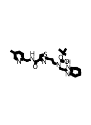 Cc1ccc(CNC(=O)c2csc(CCN(Cc3nc4ccccc4[nH]3)C(=O)OC(C)(C)C)n2)nc1